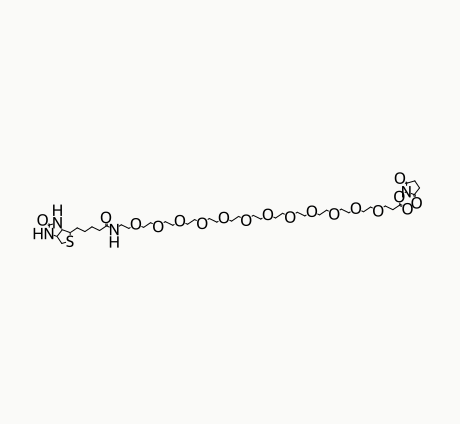 O=C(CCCCC1SCC2NC(=O)NC21)NCCOCCOCCOCCOCCOCCOCCOCCOCCOCCOCCOCCOCCC(=O)ON1C(=O)CCC1=O